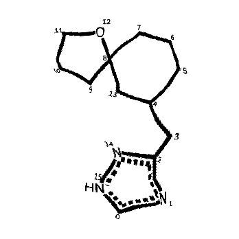 c1nc(CC2CCCC3(CCCO3)C2)n[nH]1